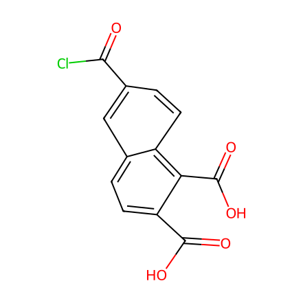 O=C(Cl)c1ccc2c(C(=O)O)c(C(=O)O)ccc2c1